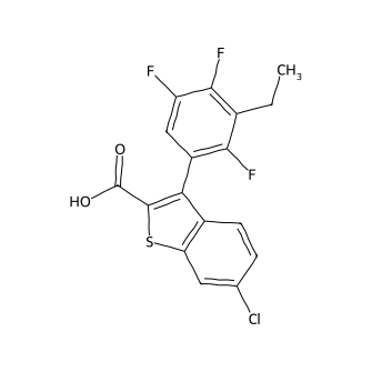 CCc1c(F)c(F)cc(-c2c(C(=O)O)sc3cc(Cl)ccc23)c1F